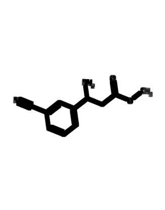 COC(=O)CC(N)c1cccc(C#N)c1